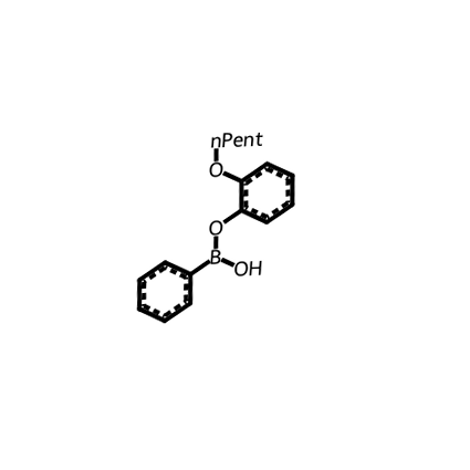 CCCCCOc1ccccc1OB(O)c1ccccc1